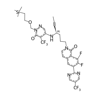 CC#C[C@@H](CCCn1ccc2cc(-c3ncc(C(F)(F)F)cn3)c(F)c(F)c2c1=O)Nc1cnn(COCC[Si](C)(C)C)c(=O)c1C(F)(F)F